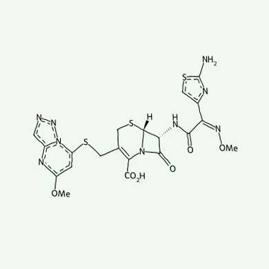 CO/N=C(\C(=O)N[C@@H]1C(=O)N2C(C(=O)O)=C(CSc3cc(OC)nc4cnnn34)CS[C@H]12)c1csc(N)n1